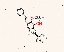 COc1cc(C=Cc2ccccc2)c(OC(=O)O)c(O)c1CC=C(C)C